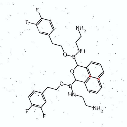 NCCNB(OCCc1ccc(F)c(F)c1)C(OC(B(NCCN)OCCc1ccc(F)c(F)c1)c1ccccc1)c1ccccc1